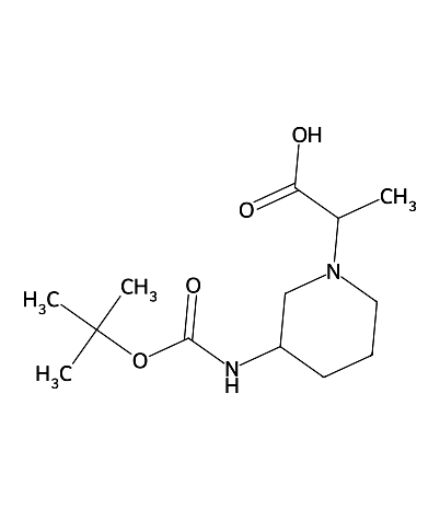 CC(C(=O)O)N1CCCC(NC(=O)OC(C)(C)C)C1